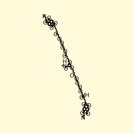 CCNC(=O)c1cc(OCCCCC(=O)CCOCCOCCOCCOCCCC(=O)CCCCCN2C(=O)c3ccc4c5c(ccc(c35)C2=O)C(=O)N(CCN(C)C)C4=O)cc(OCCCCC(=O)CCOCCOCCOCCOCCNC(=O)CCCCCN2C(=O)c3ccc4c5c(ccc(c35)C2=O)C(=O)N(CCN(C)C)C4=O)c1